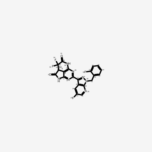 CC12C(=O)Nc3nc(-c4nn(Cc5ccccc5F)c5ncc(F)cc45)nc(c31)NC(=O)C2(F)F